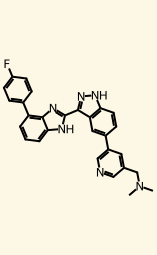 CN(C)Cc1cncc(-c2ccc3[nH]nc(-c4nc5c(-c6ccc(F)cc6)cccc5[nH]4)c3c2)c1